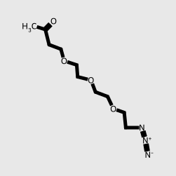 CC(=O)CCOCCOCCOCCN=[N+]=[N-]